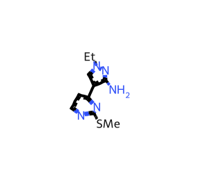 CCn1cc(-c2ccnc(SC)n2)c(N)n1